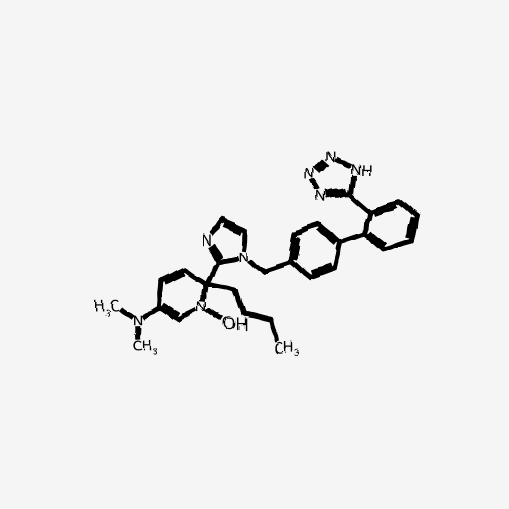 CCCCC1(c2nccn2Cc2ccc(-c3ccccc3-c3nnn[nH]3)cc2)C=CC(N(C)C)=CN1O